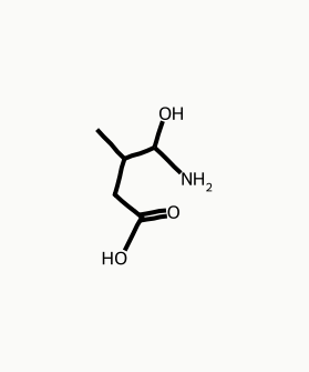 CC(CC(=O)O)C(N)O